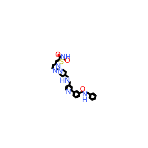 O=C1NC(=O)C(=Cc2ccnc(N3CCC(CNCc4ccnc(-c5cccc(C(=O)NCc6ccccc6)c5)c4)CC3)n2)S1